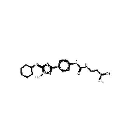 CN(C)CCNC(=O)Nc1ccc(-c2nn(C)/c(=N\C3CCCCC3)s2)cc1